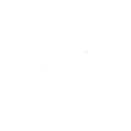 COc1cccc([SiH2])c1